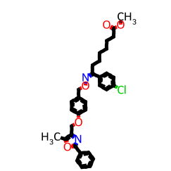 COC(=O)CCCCCCC(=NOCc1ccc(OCc2nc(-c3ccccc3)oc2C)cc1)c1ccc(Cl)cc1